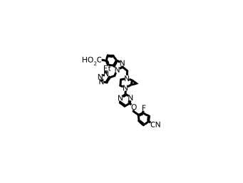 CCn1nncc1Cn1c(CN2CCN(c3nccc(OCc4ccc(C#N)cc4F)n3)C3CC32)nc2ccc(C(=O)O)cc21